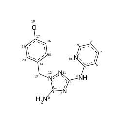 Nc1nc(Nc2ccccn2)nn1Cc1ccc(Cl)cc1